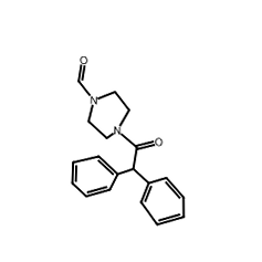 O=CN1CCN(C(=O)C(c2ccccc2)c2ccccc2)CC1